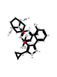 Cc1cc(C(=O)O)nc(N2[C@@H]3CC[C@H]2C[C@H](OCc2c(-c4cccc(F)c4)noc2C2CC2)C3)n1